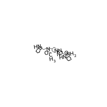 CCC(=O)N(CCc1c[nH]c2ccccc12)CC1CCN(c2ncc(C(=O)Nc3ccccc3N)cn2)CC1